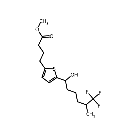 COC(=O)CCCc1ccc(C(O)CCCC(C)C(F)(F)F)s1